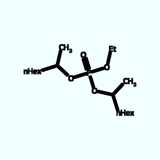 CCCCCCC(C)OP(=O)(OCC)OC(C)CCCCCC